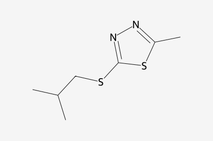 Cc1nnc(SCC(C)C)s1